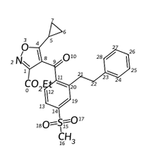 CCOC(=O)c1noc(C2CC2)c1C(=O)c1ccc(S(C)(=O)=O)cc1CCc1ccccc1